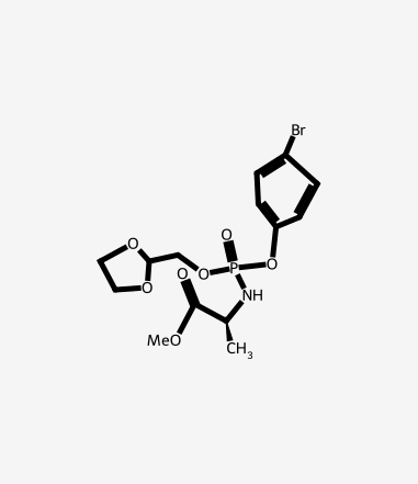 COC(=O)[C@H](C)NP(=O)(OCC1OCCO1)Oc1ccc(Br)cc1